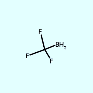 BC(F)(F)F